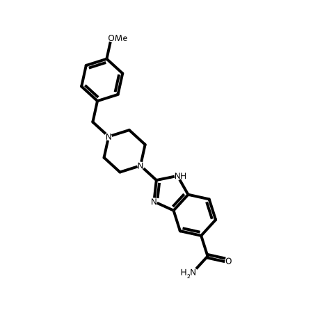 COc1ccc(CN2CCN(c3nc4cc(C(N)=O)ccc4[nH]3)CC2)cc1